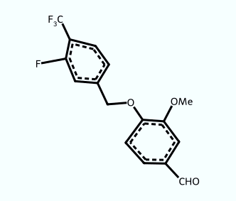 COc1cc(C=O)ccc1OCc1ccc(C(F)(F)F)c(F)c1